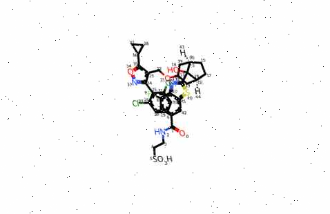 O=C(NCCS(=O)(=O)O)c1cc(F)c2nc(C3(O)[C@@H]4CC[C@H]3CC(OCc3c(-c5c(Cl)cccc5Cl)noc3C3CC3)C4)sc2c1